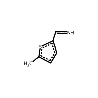 Cc1ccc(C=N)s1